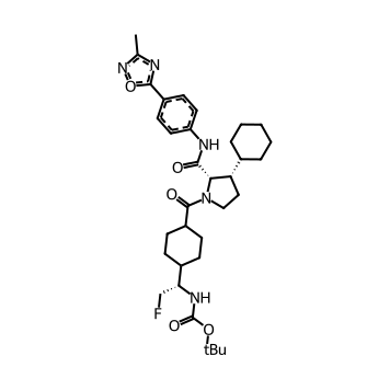 Cc1noc(-c2ccc(NC(=O)[C@@H]3[C@H](C4CCCCC4)CCN3C(=O)C3CCC([C@@H](CF)NC(=O)OC(C)(C)C)CC3)cc2)n1